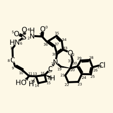 O=C1NS(=O)(=O)NCC/C=C/C(O)[C@@H]2CC[C@H]2CN2C[C@@]3(CCCc4cc(Cl)ccc43)COc3ccc1cc32